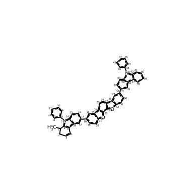 CC1CC=Cc2c1n(-c1ccccc1)c1ccc(-c3ccc4oc5c(ccc6c7cc(-c8ccc9c(c8)c8ccccc8n9-c8ccccc8)ccc7oc65)c4c3)cc21